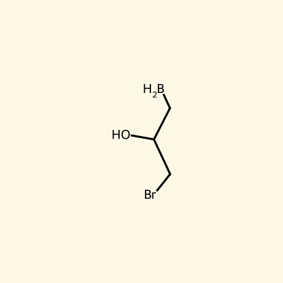 BCC(O)CBr